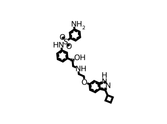 Nc1cccc(S(=O)(=O)Nc2cccc([C@@H](O)CNCCOc3ccc4c(C5CCC5)n[nH]c4c3)c2)c1